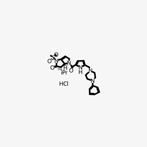 CC(C)[C@@H]1C(=O)N(S(C)(=O)=O)C2=CCN(C(=O)c3ccc(CN4CCN(c5ccccc5)CC4)[nH]3)[C@H]21.Cl